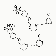 CN(c1ccc(OCC2CN(CCc3cccc(Cl)c3)CCCO2)cc1)S(C)(=O)=O.CNS(=O)(=O)Cc1ccc(OCC2CCCN(CCc3cccc(Cl)c3)C2)cc1